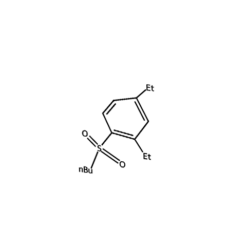 C[CH]CCS(=O)(=O)c1ccc(CC)cc1CC